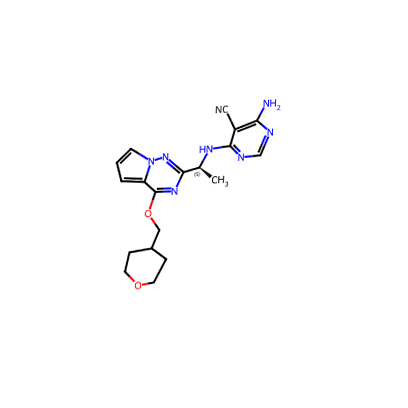 C[C@H](Nc1ncnc(N)c1C#N)c1nc(OCC2CCOCC2)c2cccn2n1